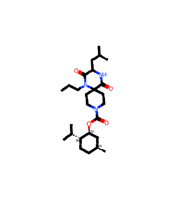 CCCN1C(=O)C(CC(C)C)NC(=O)C12CCN(C(=O)O[C@H]1C[C@@H](C)CC[C@@H]1C(C)C)CC2